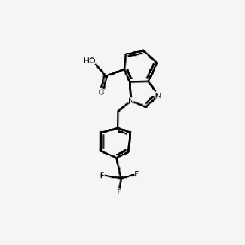 O=C(O)c1cccc2ncn(Cc3ccc(C(F)(F)F)cc3)c12